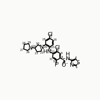 [O-][S+](Nc1cscn1)c1cc(Cl)c(Nc2ccc(Cl)cc2N2CCC(N3CCCC3)C2)cc1F